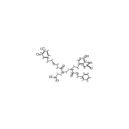 CCN(CC)CCN(CCN(CCc1ccc(O)c2[nH]c(=O)sc12)C(=O)OCc1ccccc1)C(=O)CCOCCc1ccc(Cl)c(Cl)c1